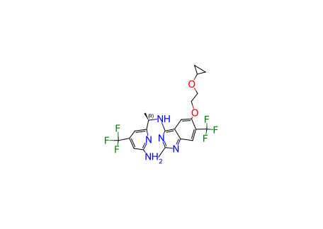 Cc1nc(N[C@H](C)c2cc(C(F)(F)F)cc(N)n2)c2cc(OCCOC3CC3)c(C(F)(F)F)cc2n1